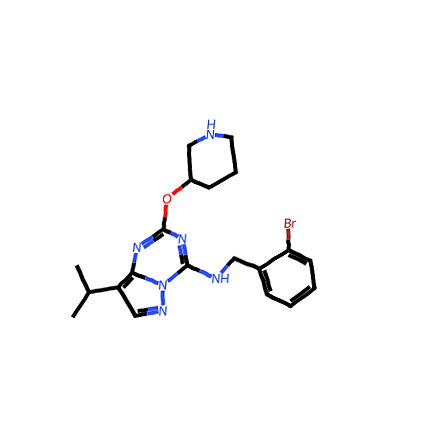 CC(C)c1cnn2c(NCc3ccccc3Br)nc(OC3CCCNC3)nc12